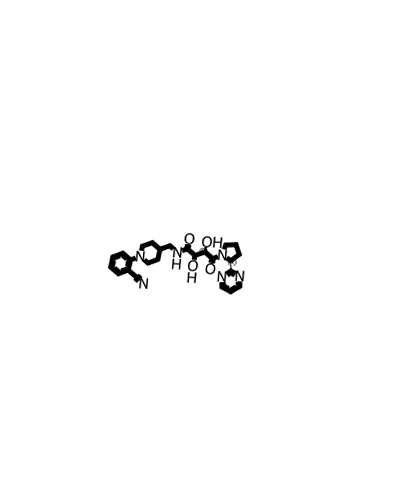 N#Cc1ccccc1N1CCC(CNC(=O)C(O)[C@@H](O)C(=O)N2CCC[C@@H]2c2ncccn2)CC1